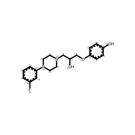 Oc1ccc(OCC(O)CN2CCN(c3cccc(F)c3)CC2)cc1